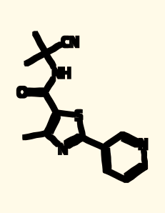 Cc1nc(-c2cccnc2)sc1C(=O)NC(C)(C)C#N